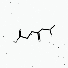 CN(I)CC(=O)CCC(=O)O